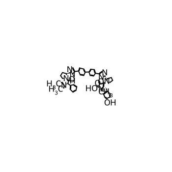 CCN(CC)[C@@H](C(=O)N1CCC[C@H]1c1ncc(-c2ccc(-c3ccc(-c4cnc([C@@H]5CCCN5C(=O)[C@H](Cc5ccc(O)cc5)N(C)C(=O)O)[nH]4)cc3)cc2)[nH]1)c1ccccc1